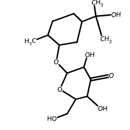 CC1CCC(C(C)(C)O)CC1OC1OC(CO)C(O)C(=O)C1O